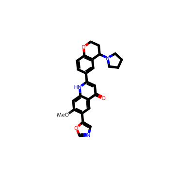 COc1cc2[nH]c(-c3ccc4c(c3)C(N3CCCC3)CCO4)cc(=O)c2cc1-c1cnco1